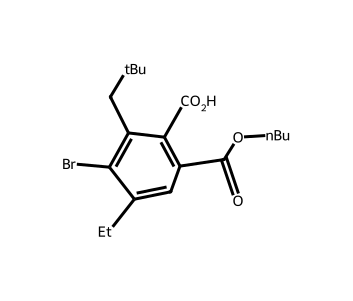 CCCCOC(=O)c1cc(CC)c(Br)c(CC(C)(C)C)c1C(=O)O